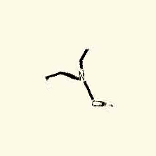 CN(C)[O]